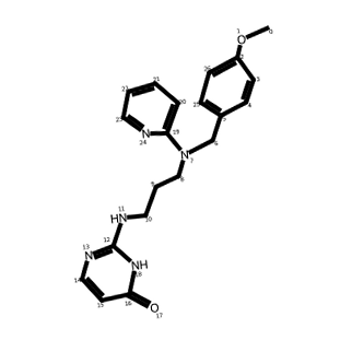 COc1ccc(CN(CCCNc2nccc(=O)[nH]2)c2ccccn2)cc1